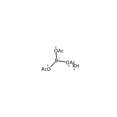 CC(=O)OB(OC(C)=O)OC(C)=O.[KH]